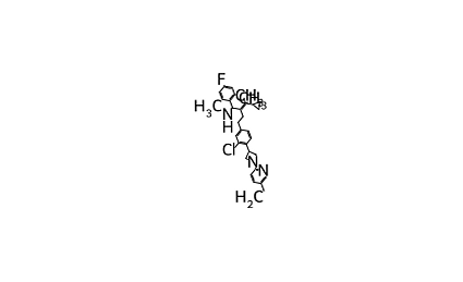 C=Cc1ccc(N2CC(c3ccc(CC/C(C(=N)c4c(C)cc(F)cc4C)=C(/C)C4CC4)cc3Cl)C2)nc1